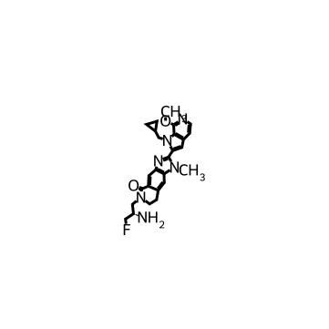 COc1nccc2cc(-c3nc4cc5c(cc4n3C)CCN(C[C@H](N)CF)C5=O)n(CC3CC3)c12